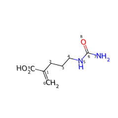 C=C(CCCNC(N)=O)C(=O)O